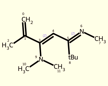 C=C(C)/C(=C/C(=N/C)C(C)(C)C)N(C)C